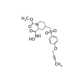 CC#CCOc1ccc(S(=O)(=O)CC2CCN(C(=O)OC)C(C(=O)NO)C2)cc1